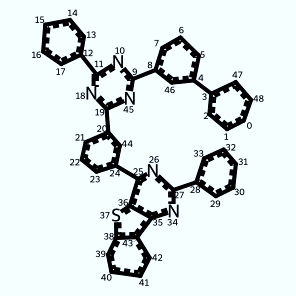 c1ccc(-c2cccc(-c3nc(-c4ccccc4)nc(-c4cccc(-c5nc(-c6ccccc6)nc6c5sc5ccccc56)c4)n3)c2)cc1